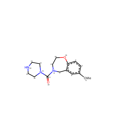 COc1ccc2c(c1)CN(C(=O)N1CCNCC1)CCO2